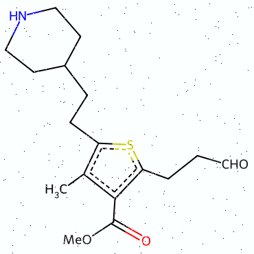 COC(=O)c1c(CCC=O)sc(CCC2CCNCC2)c1C